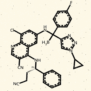 BC(Nc1cc(Cl)c2ncc(C#N)c(N[C@@H](CCC#N)c3ccccc3)c2c1)(c1ccc(F)cc1)c1cn(C2CC2)nn1